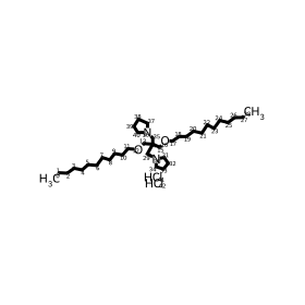 CCCCCCCCCCCCOCC(COCCCCCCCCCCCC)(CN1CCCC1)CN1CCCC1.Cl.Cl